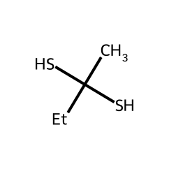 CCC(C)(S)S